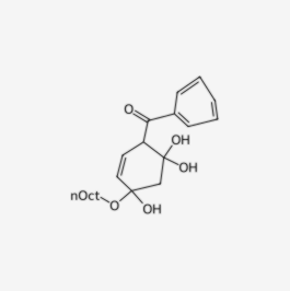 CCCCCCCCOC1(O)C=CC(C(=O)c2ccccc2)C(O)(O)C1